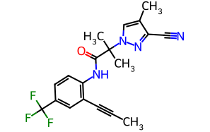 CC#Cc1cc(C(F)(F)F)ccc1NC(=O)C(C)(C)n1cc(C)c(C#N)n1